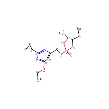 CCCSP(=O)(OCC)SCc1cc(OCC)nc(C2CC2)n1